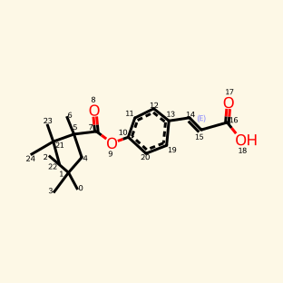 CC(C)(C)CC(C)(C(=O)Oc1ccc(/C=C/C(=O)O)cc1)C(C)(C)C